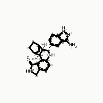 Nc1n[nH]c2ccc([C@@H]3Nc4ccc5c(c4[C@H]4C6CCC(C6)[C@@H]34)C(=O)NC5)cc12